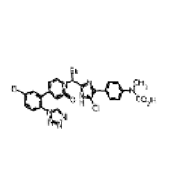 CCC(c1nc(-c2ccc(N(C)C(=O)O)cc2)c(Cl)[nH]1)n1ccc(-c2cc(Cl)ccc2-n2cnnn2)cc1=O